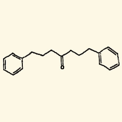 O=C(CCCc1ccccc1)CCCc1ccccc1